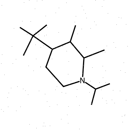 CC1C(C)N(C(C)C)CCC1C(C)(C)C